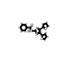 O=C(Nc1nc(-c2ccco2)c(-c2ccco2)s1)c1ccccc1